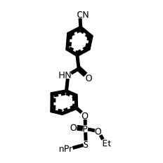 CCCSP(=O)(OCC)Oc1cccc(NC(=O)c2ccc(C#N)cc2)c1